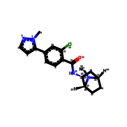 Cn1nccc1-c1ccc(C(=O)N[C@@H]2C[C@@H]3CC[C@H]2N3C#N)c(Cl)c1